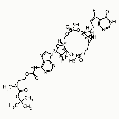 CN(CCOC(=O)Nc1ncnc2c1ncn2[C@@H]1O[C@@H]2CO[P@@](=O)(S)O[C@H]3C(n4cc(F)c5c(=O)[nH]cnc54)OC(CO[P@@](=O)(S)O[C@H]2[C@H]1F)[C@H]3O)C(=O)OC(C)(C)C